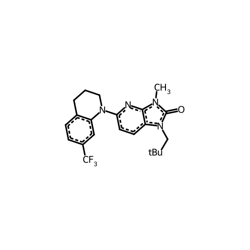 Cn1c(=O)n(CC(C)(C)C)c2ccc(N3CCCc4ccc(C(F)(F)F)cc43)nc21